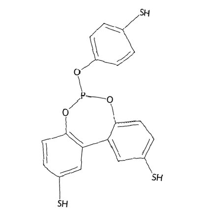 Sc1ccc(Op2oc3ccc(S)cc3c3cc(S)ccc3o2)cc1